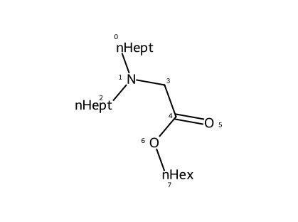 CCCCCCCN(CCCCCCC)CC(=O)OCCCCCC